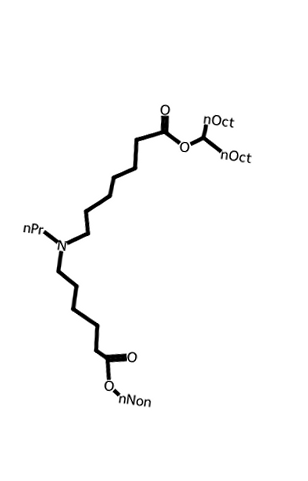 CCCCCCCCCOC(=O)CCCCCN(CCC)CCCCCCC(=O)OC(CCCCCCCC)CCCCCCCC